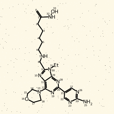 C=C(CCCCCNCc1nc2c(N3CCOCC3)nc(-c3cnc(N)nc3)nc2n1CC)NO